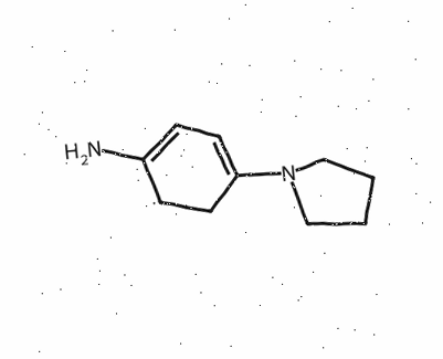 NC1=CC=C(N2CCCC2)C[CH]1